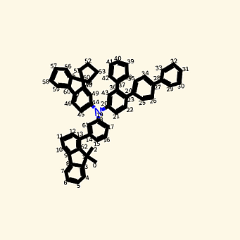 CC1(C)c2ccccc2-c2cccc(-c3cccc(N(c4ccc(-c5ccc(-c6ccccc6)cc5)c(-c5ccccc5)c4)c4ccc5c(c4)C4(CCCC4)c4ccccc4-5)c3)c21